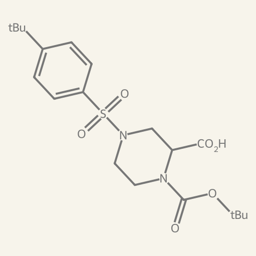 CC(C)(C)OC(=O)N1CCN(S(=O)(=O)c2ccc(C(C)(C)C)cc2)CC1C(=O)O